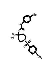 Cc1ccc(S(=O)(=O)N2CCC(N)(OC(=O)Nc3ccc(C(C)(C)C)cc3)CC2)cc1.Cl